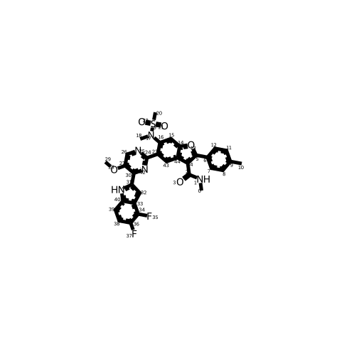 CNC(=O)c1c(-c2ccc(C)cc2)oc2cc(N(C)S(C)(=O)=O)c(-c3ncc(OC)c(-c4cc5c(F)c(F)ccc5[nH]4)n3)cc12